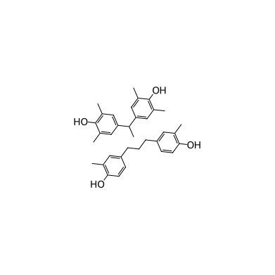 Cc1cc(C(C)c2cc(C)c(O)c(C)c2)cc(C)c1O.Cc1cc(CCCc2ccc(O)c(C)c2)ccc1O